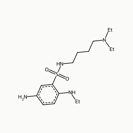 CCNc1ccc(N)cc1S(=O)(=O)NCCCCN(CC)CC